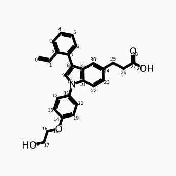 C=Cc1ccccc1-c1cn(-c2ccc(OCCO)cc2)c2ccc(CCC(=O)O)cc12